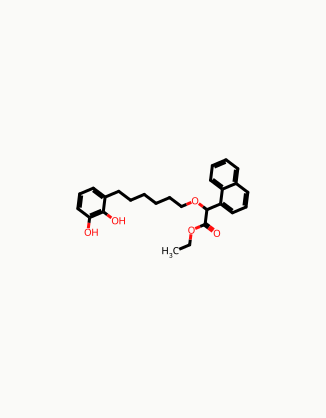 CCOC(=O)C(OCCCCCCc1cccc(O)c1O)c1cccc2ccccc12